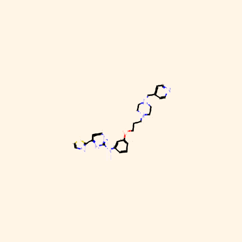 c1cc(Nc2nccc(-c3nccs3)n2)cc(OCCCN2CCN(Cc3ccncc3)CC2)c1